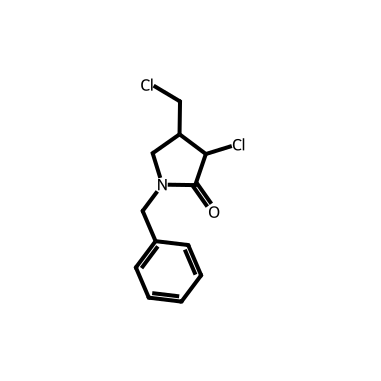 O=C1C(Cl)C(CCl)CN1Cc1ccccc1